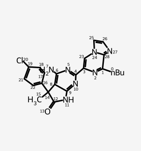 CCCCc1nc(-c2nc(N)c3c(n2)NC(=O)C3(C)c2ccc(Cl)cc2)cn2ccnc12